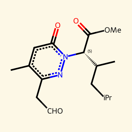 COC(=O)[C@H](C(C)CC(C)C)n1nc(CC=O)c(C)cc1=O